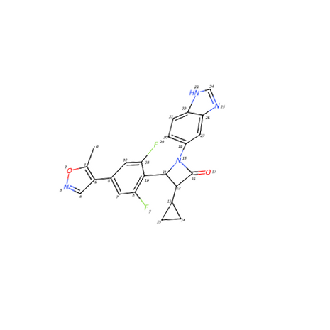 Cc1oncc1-c1cc(F)c(C2C(C3CC3)C(=O)N2c2ccc3[nH]cnc3c2)c(F)c1